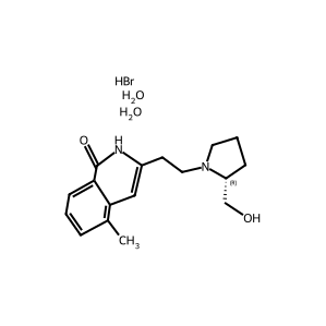 Br.Cc1cccc2c(=O)[nH]c(CCN3CCC[C@@H]3CO)cc12.O.O